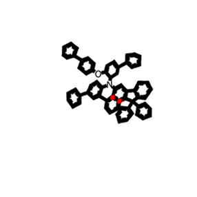 C1=C(c2ccccc2)CC(N(c2ccc3c(c2)-c2ccccc2C3(c2ccccc2)c2ccccc2)c2ccc(-c3ccccc3)cc2-c2ccccc2)C(Oc2ccc(-c3ccccc3)cc2)=C1